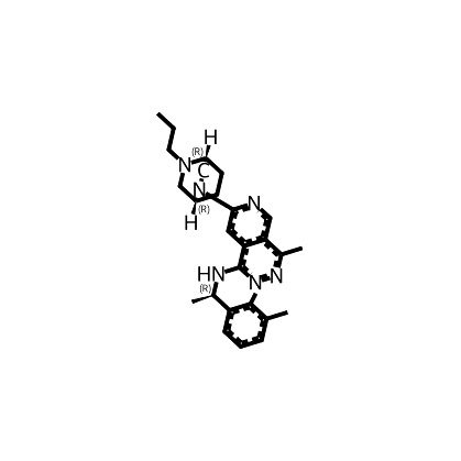 CCCN1C[C@H]2CC[C@@H]1CN2c1cc2c(N[C@H](C)c3cccc(C)c3C)nnc(C)c2cn1